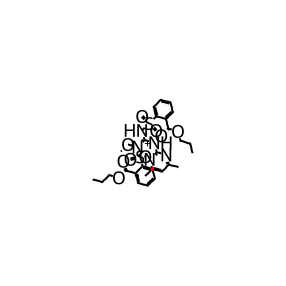 CCCOC(=O)c1ccccc1S(=O)(=O)NC(Nc1nc(C)cc(C)n1)=[N+](OC)S(=O)(=O)c1ccccc1C(=O)OCCC